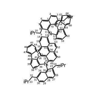 CC(C)Cc1ccc2ccc(CC(C)C)c(N(c3ccc4ccc5c(N(c6c(CC(C)C)ccc7ccc(CC(C)C)cc67)c6cccc7c6oc6ccccc67)ccc6ccc3c4c65)c3cccc4c3oc3ccccc34)c2c1